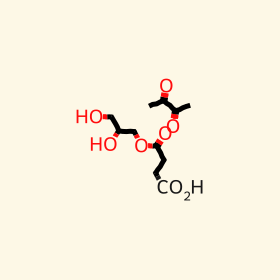 CC(=O)C(C)=O.O=C(O)CCC(=O)OCC(O)CO